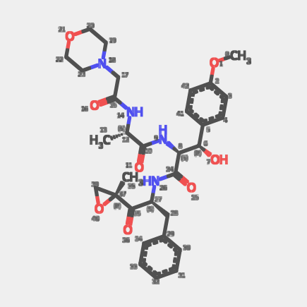 COc1ccc([C@@H](O)[C@H](NC(=O)[C@H](C)NC(=O)CN2CCOCC2)C(=O)N[C@@H](Cc2ccccc2)C(=O)[C@@]2(C)CO2)cc1